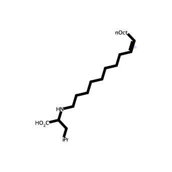 CCCCCCCC/C=C\CCCCCCCCNC(CC(C)C)C(=O)O